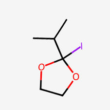 CC(C)C1(I)OCCO1